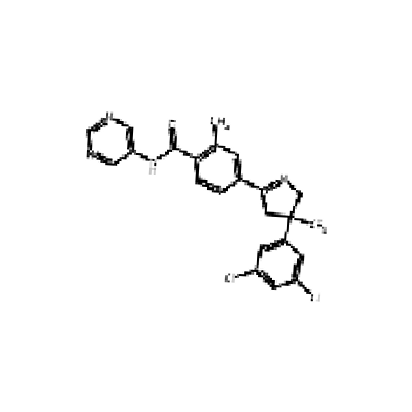 Cc1cc(C2=NCC(c3cc(Cl)cc(Cl)c3)(C(F)(F)F)C2)ccc1C(=O)Nc1cncnc1